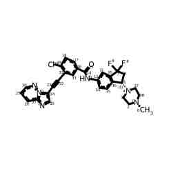 CN1CCN([C@H]2CC(F)(F)c3cc(NC(=O)c4ccc(Cl)c(C#Cc5cnc6cccnn56)c4)ccc32)CC1